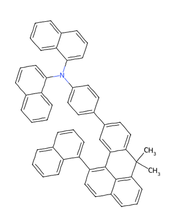 CC1(C)c2ccc(-c3ccc(N(c4cccc5ccccc45)c4cccc5ccccc45)cc3)cc2-c2c(-c3cccc4ccccc34)ccc3cccc1c23